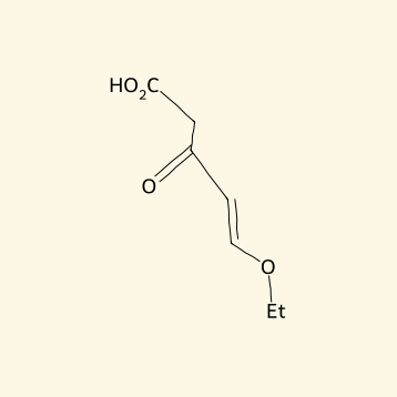 CCO/C=C/C(=O)CC(=O)O